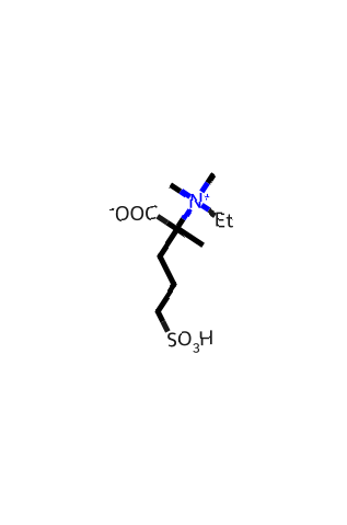 CC[N+](C)(C)C(C)(CCCS(=O)(=O)O)C(=O)[O-]